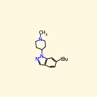 CN1CCC(n2ncc3ccc(C(C)(C)C)cc32)CC1